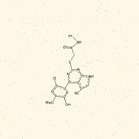 COc1cc(Cl)c(-c2nc(SCC(=O)NC(C)C)nc3[nH]cc(C#N)c23)cc1O